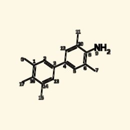 Cc1cc(-c2cc(C)c(N)c(C)c2)cc(C)c1C